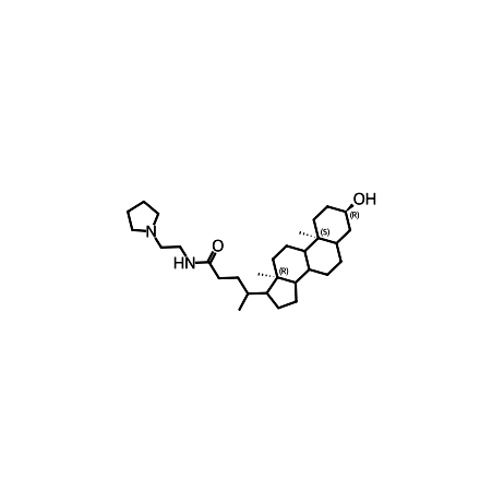 CC(CCC(=O)NCCN1CCCC1)C1CCC2C3CCC4C[C@H](O)CC[C@]4(C)C3CC[C@]12C